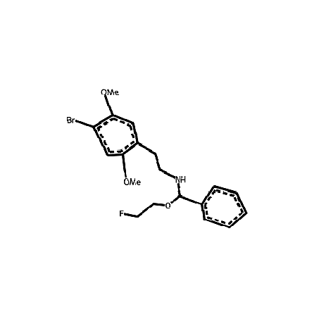 COc1cc(CCNC(OCCF)c2ccccc2)c(OC)cc1Br